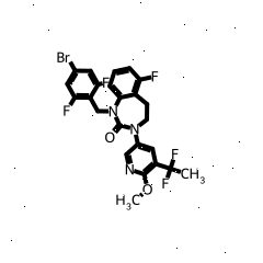 COc1ncc(N2CCc3c(F)cccc3N(Cc3c(F)cc(Br)cc3F)C2=O)cc1C(C)(F)F